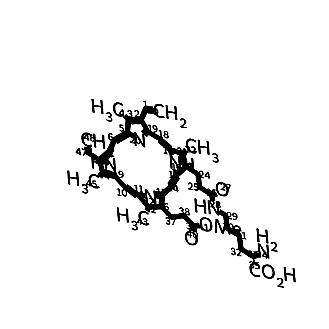 C=CC1=C(C)c2cc3[nH]c(cc4nc(cc5[nH]c(cc1n2)c(C)c5CCC(=O)NCCCC[C@H](N)C(=O)O)C(CCC(=O)OC)C4C)c(C)c3C=C